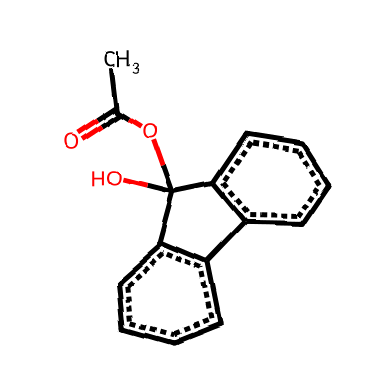 CC(=O)OC1(O)c2ccccc2-c2ccccc21